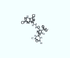 Cc1c([N+](=O)[O-])c(OCCCn2nc(Cl)c3cnc(Cl)nc32)nn1[C@H]1C[C@@H](C)O[C@@H](C)C1